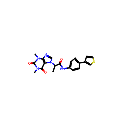 CC(C(=O)Nc1ccc(-c2ccsc2)cc1)n1cnc2c1c(=O)n(C)c(=O)n2C